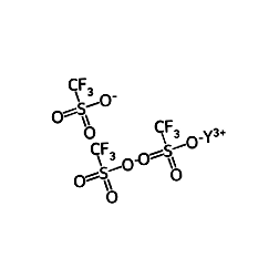 O=S(=O)([O-])C(F)(F)F.O=S(=O)([O-])C(F)(F)F.O=S(=O)([O-])C(F)(F)F.[Y+3]